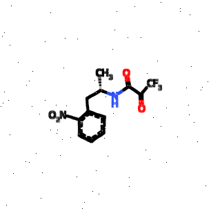 C[C@@H](Cc1ccccc1[N+](=O)[O-])NC(=O)C(=O)C(F)(F)F